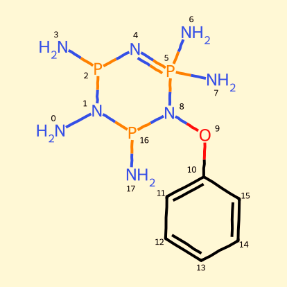 NN1P(N)N=P(N)(N)N(Oc2ccccc2)P1N